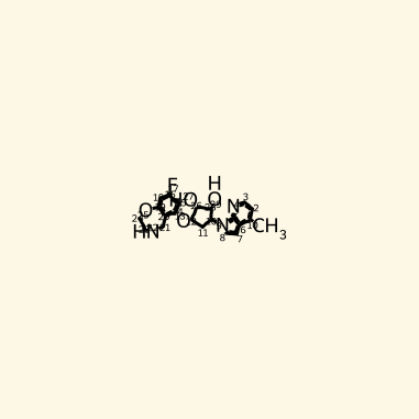 Cc1ccnc2c1ccn2C1CC(Oc2cc(F)cc3c2CNCCO3)C(O)C1O